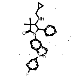 CC1(C)C(=O)N(c2ccc3c(cnn3-c3ccc(F)cc3)c2)C(c2ccccc2)C1NCC1CC1